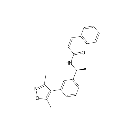 Cc1noc(C)c1-c1cccc([C@H](C)NC(=O)/C=C\c2ccccc2)c1